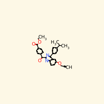 C#CCOc1ccc2nc(C(=O)c3ccc(C(=O)OCC)cc3)nc(-c3ccc(C(C)C)cc3)c2c1